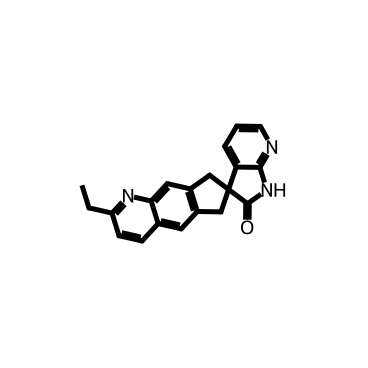 CCc1ccc2cc3c(cc2n1)CC1(C3)C(=O)Nc2ncccc21